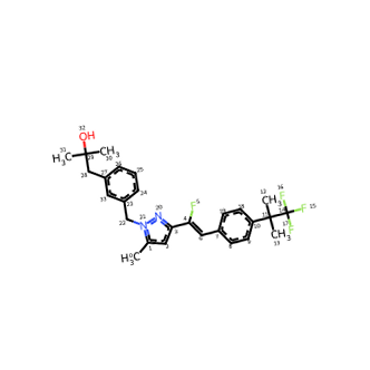 Cc1cc(C(F)=Cc2ccc(C(C)(C)C(F)(F)F)cc2)nn1Cc1cccc(CC(C)(C)O)c1